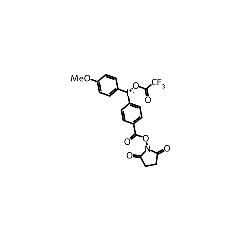 COc1ccc([I+](OC(=O)C(F)(F)F)c2ccc(C(=O)ON3C(=O)CCC3=O)cc2)cc1